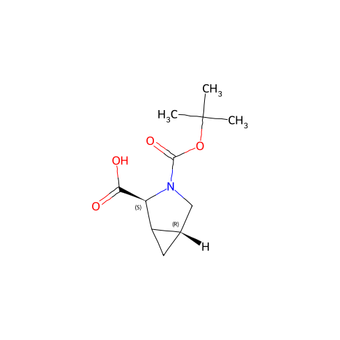 CC(C)(C)OC(=O)N1C[C@@H]2CC2[C@H]1C(=O)O